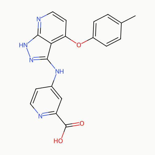 Cc1ccc(Oc2ccnc3[nH]nc(Nc4ccnc(C(=O)O)c4)c23)cc1